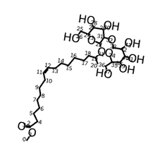 COC(=O)CCCCCCC/C=C\CCCCCCC(C)OC1OC(CO)C(O)C(O)C1OC1OC(CO)C(O)C(O)C1O